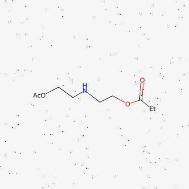 CCC(=O)OCCNCCOC(C)=O